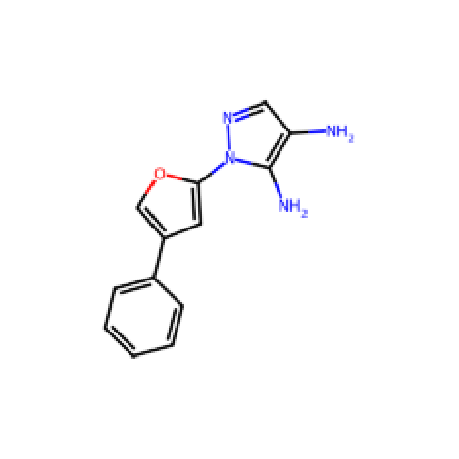 Nc1cnn(-c2cc(-c3ccccc3)co2)c1N